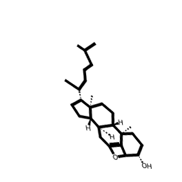 CC(C)CCCC(C)[C@H]1CC[C@H]2[C@@H]3CC4=C5C(O4)[C@@H](O)CC[C@]5(C)[C@H]3CC[C@]12C